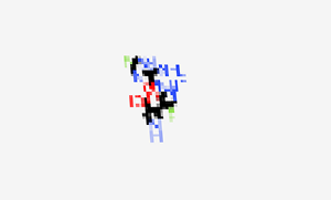 Nc1nn2cc(F)cnc2c1C(=O)Nc1cc(C2CNCCC2C(=O)O)c(F)cn1